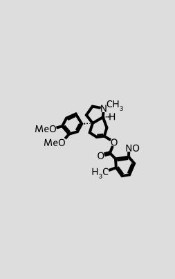 COc1ccc([C@@]23CC=C(OC(=O)c4c(C)cccc4N=O)C[C@@H]2N(C)CC3)cc1OC